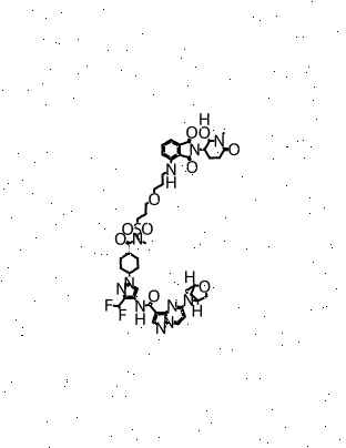 CN1C(=O)CCC(N2C(=O)c3cccc(NCCCOCCCS(=O)(=O)N(C)C(=O)[C@H]4CC[C@H](n5cc(NC(=O)c6cnn7ccc(N8C[C@H]9C[C@@H]8CO9)nc67)c(C(F)F)n5)CC4)c3C2=O)C1O